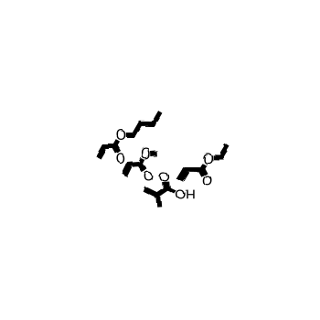 C=C(C)C(=O)O.C=CC(=O)OC.C=CC(=O)OCC.C=CC(=O)OCCCC